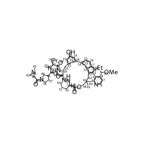 CCn1c(-c2cnccc2COC)c2c3cc(ccc31)-c1cc(O)cc(c1)C[C@H](NC(=O)C(C(C)C)N(C)C(=O)[C@H]1CCN(C(=O)[C@H]3CN3C)C1)C(=O)N1CCC[C@H](N1)C(=O)OCC(C)(C)C2